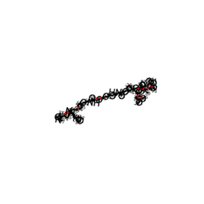 CC[C@H](C(=O)N1CCCC[C@H]1C(=O)O[C@H](CCc1ccc(OC)c(OC)c1)c1cccc(OCC(=O)NCCOCCOCCOCCC(=O)NCCOc2ccc(CCc3nc4cc(-c5c(C)noc5C)ccc4n3CCN3CCOCC3)cc2)c1)c1cc(OC)c(OC)c(OC)c1